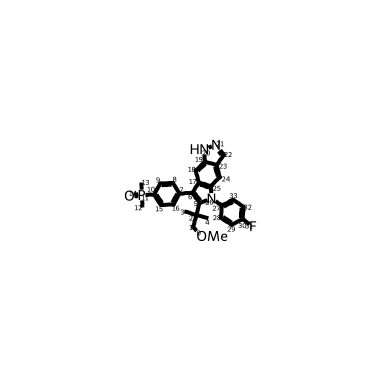 COCC(C)(C)c1c(-c2ccc(P(C)(C)=O)cc2)c2cc3[nH]ncc3cc2n1-c1ccc(F)cc1